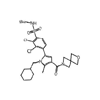 Cc1c(C(=O)N2CC3(COC3)C2)cc(-c2ccc(S(=O)(=O)NC(C)(C)C)c(Cl)c2Cl)n1CC1CCCCC1